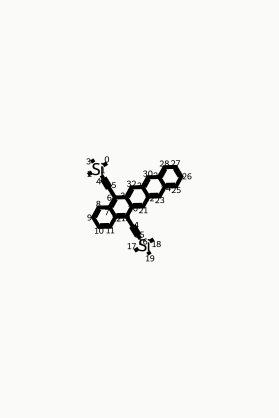 C[Si](C)(C)C#Cc1c2ccccc2c(C#C[Si](C)(C)C)c2cc3cc4ccccc4cc3cc12